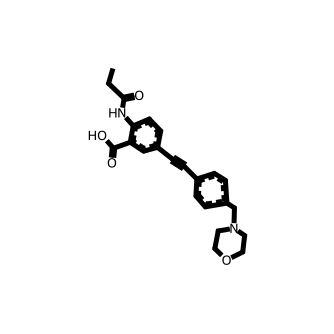 CCC(=O)Nc1ccc(C#Cc2ccc(CN3CCOCC3)cc2)cc1C(=O)O